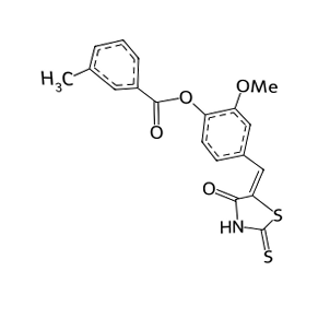 COc1cc(/C=C2/SC(=S)NC2=O)ccc1OC(=O)c1cccc(C)c1